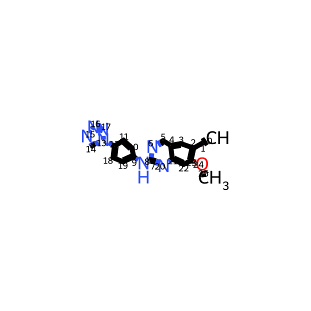 C#Cc1cc2cnc(Nc3ccc(-n4cnnn4)cc3)nc2cc1OC